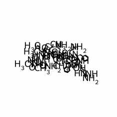 CC[C@H](C)[C@H](NC(=O)[C@H](CCN)NC(=O)[C@H](C)NC(=O)[C@H](C)N)C(=O)N[C@H](C(=O)N[C@@H](CC(C)C)C(=O)N[C@@H](CCN)C(=O)N[C@@H](Cc1c[nH]c2ccccc12)C(=O)N[C@@H](CCN)C(=O)N[C@@H](Cc1ccccc1)C(=O)N[C@@H](CCCNC(=N)N)C(=O)O)[C@@H](C)CC